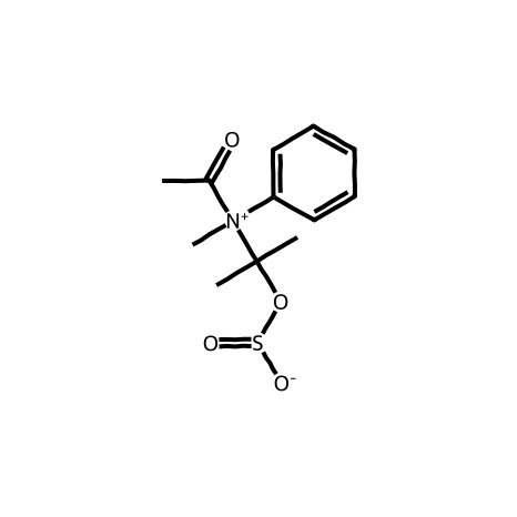 CC(=O)[N+](C)(c1ccccc1)C(C)(C)OS(=O)[O-]